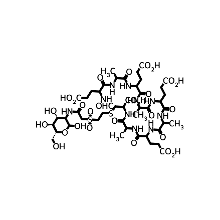 CC(NC(=O)C(CCC(=O)O)NC=O)C(=O)NC(CCC(=O)O)C(=O)NC(C)C(=O)NC(CCC(=O)O)C(=O)NC(C)C(=O)NC(CCC(=O)O)C(=O)NC(C)C(=O)NC(CSCCS(=O)(=O)CC(=O)NC1C(O)O[C@H](CO)[C@@H](O)[C@@H]1O)C(=O)O